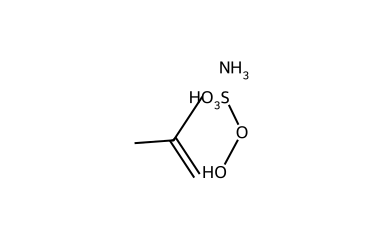 C=C(C)C.N.O=S(=O)(O)OO